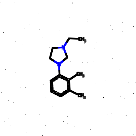 CCN1CCN(c2cccc(C)c2C)C1